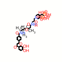 CC(C)(CNC(=O)c1ccc(-c2cc(=O)c3ccc(O)c(O)c3o2)cc1)COC(C)(C)CC(=O)NCC(O)C[n+]1ccc(CC(O)(P(=O)(O)O)P(=O)(O)O)cc1